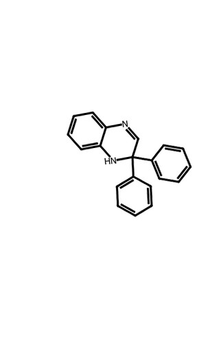 C1=Nc2ccccc2NC1(c1ccccc1)c1ccccc1